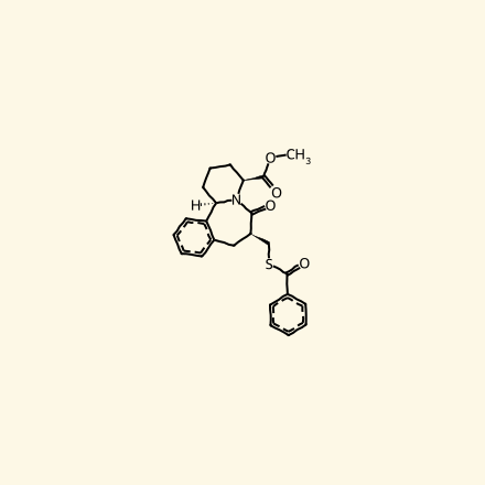 COC(=O)[C@@H]1CCC[C@@H]2c3ccccc3C[C@H](CSC(=O)c3ccccc3)C(=O)N21